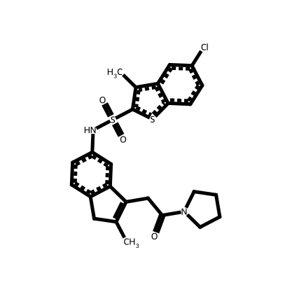 CC1=C(CC(=O)N2CCCC2)c2cc(NS(=O)(=O)c3sc4ccc(Cl)cc4c3C)ccc2C1